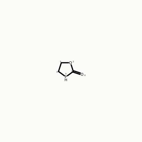 O=C1OCCP1